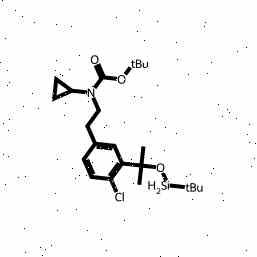 CC(C)(C)OC(=O)N(CCc1ccc(Cl)c(C(C)(C)O[SiH2]C(C)(C)C)c1)C1CC1